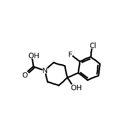 O=C(O)N1CCC(O)(c2cccc(Cl)c2F)CC1